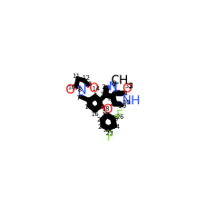 Cn1cc(-c2cc(CN3C(=O)CCC3=O)ccc2Oc2ccc(F)cc2F)c2cc[nH]c(=O)c21